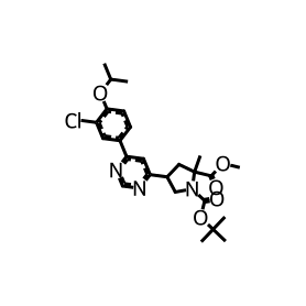 COC(=O)C1(C)CC(c2cc(-c3ccc(OC(C)C)c(Cl)c3)ncn2)CN1C(=O)OC(C)(C)C